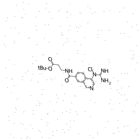 CC(C)(C)OC(=O)CCNC(=O)c1ccc2c(N(Cl)C(=N)N)cncc2c1